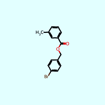 Cc1cccc(C(=O)OCc2ccc(Br)cc2)c1